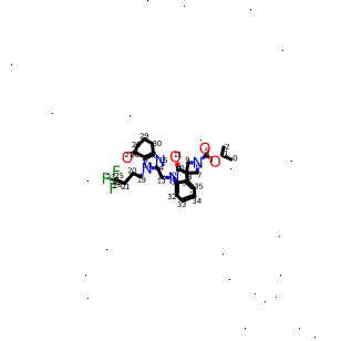 CC(C)OC(=O)N1CC2(C1)C(=O)N(Cc1nc3c(n1CCCC(F)(F)F)C(=O)CCC3)c1ccccc12